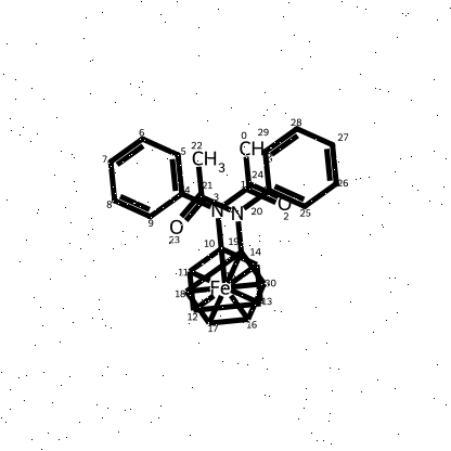 CC(=O)N(c1ccccc1)[C]12[CH]3[CH]4[CH]5[CH]1[Fe]45321678[CH]2[CH]1[CH]6[C]7(N(C(C)=O)c1ccccc1)[CH]28